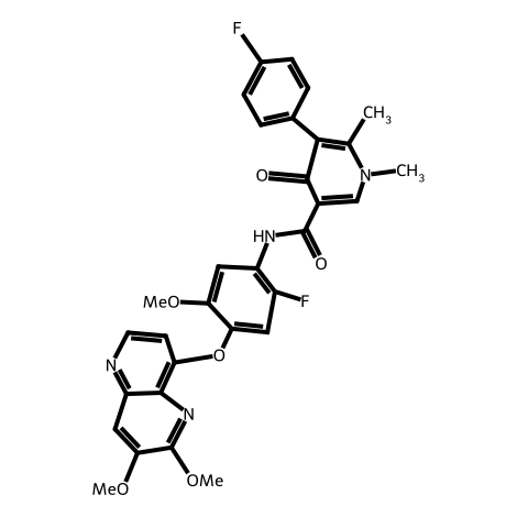 COc1cc(NC(=O)c2cn(C)c(C)c(-c3ccc(F)cc3)c2=O)c(F)cc1Oc1ccnc2cc(OC)c(OC)nc12